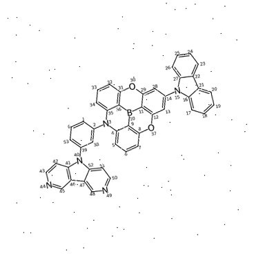 c1cc(N2c3cccc4c3B3c5c(cc(-n6c7ccccc7c7ccccc76)cc5Oc5cccc2c53)O4)cc(-n2c3ccncc3c3cnccc32)c1